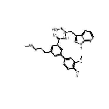 COCCCc1cc(C(=O)N[C@@H](CO)Cc2c[nH]c3ccccc23)cc(-c2ccc(OC)c(OC)c2)c1